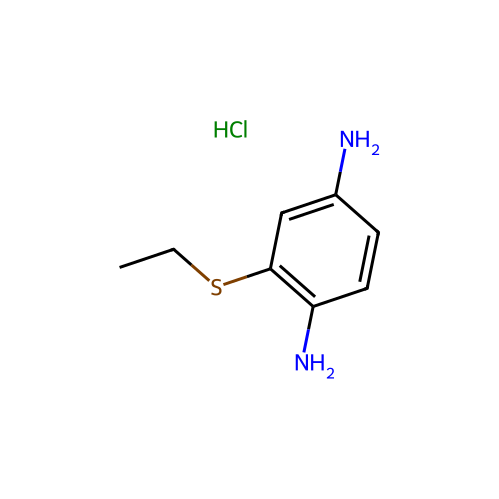 CCSc1cc(N)ccc1N.Cl